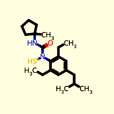 CCc1cc(CC(C)C)cc(CC)c1N(S)C(=O)NC1(C)CCCC1